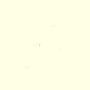 O=C1NC(O)SS1